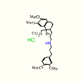 COc1ccc(CCCNCCCC2CCc3cc(OC)c(OC)cc3C2(CC(=O)O)C(C)C)cc1OC.Cl